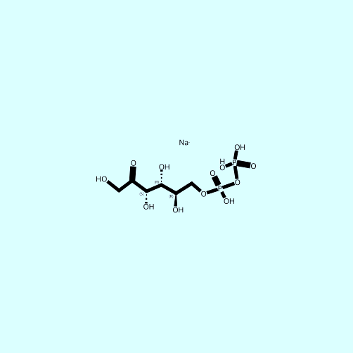 O=C(CO)[C@@H](O)[C@H](O)[C@H](O)COP(=O)(O)OP(=O)(O)O.[Na]